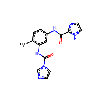 Cc1ccc(NC(=O)c2ncc[nH]2)cc1NC(=O)n1ccnc1